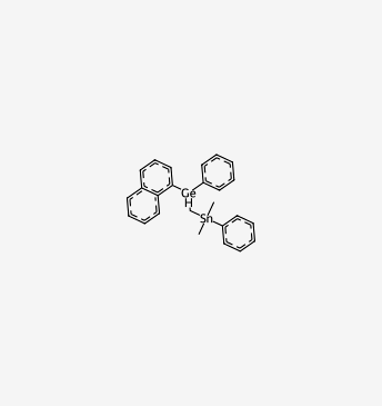 [CH3][Sn]([CH3])([CH2][GeH]([c]1ccccc1)[c]1cccc2ccccc12)[c]1ccccc1